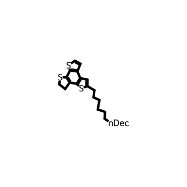 CCCCCCCCCCCCCCCCc1cc2c(s1)c1c(c3sccc32)SCC1